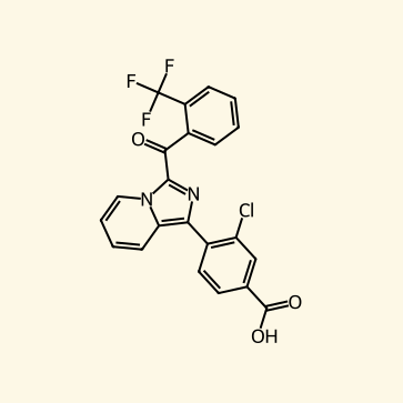 O=C(O)c1ccc(-c2nc(C(=O)c3ccccc3C(F)(F)F)n3ccccc23)c(Cl)c1